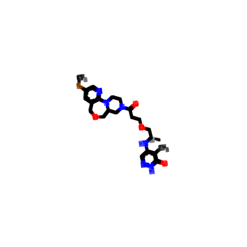 C[C@@H](COCCC(=O)N1CCN2c3ncc(SC(F)(F)F)cc3COCC2C1)Nc1cn[nH]c(=O)c1C(F)(F)F